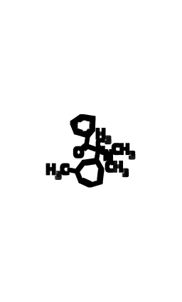 CC1C=CC=CC(C(C)(C(=O)c2ccccc2)N(C)C)=C1